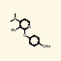 COc1ccc(Oc2nccc(N(C)C)c2C(C)(C)C)cc1